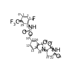 Cc1cc(F)c(NC(=O)OCc2ccc3c(c2)C(=O)N(C2CCC(=O)NC2=O)C3)cc1C(F)(F)F